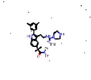 CCN(CC)C(=O)C(C)(C)c1ccc2[nH]c(-c3cc(C)cc(C)c3)c(CCN/C(=N/C#N)N3CCNCC3)c2c1